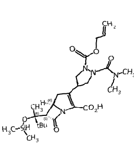 C=CCOC(=O)N1CC(C2=C(C(=O)O)N3C(=O)[C@H]([C@@](C)(O[SiH](C)C)C(C)(C)C)[C@H]3C2)CN1C(=O)N(C)C